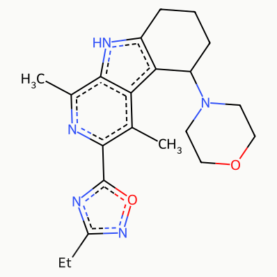 CCc1noc(-c2nc(C)c3[nH]c4c(c3c2C)C(N2CCOCC2)CCC4)n1